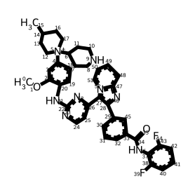 COc1cc([N+]2(C3CCNCC3)CCC(C)CC2)ccc1Nc1nccc(-c2c(-c3cccc(C(=O)Nc4c(F)cccc4F)c3)nc3ccccn23)n1